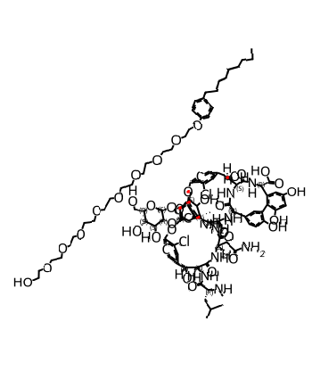 CCCCCCCCCc1ccc(OCCOCCOCCOCCOCCOCCOCCOCCOCCO)cc1.CN[C@H](CC(C)C)C(=O)N[C@H]1C(=O)N[C@@H](CC(N)=O)C(=O)N[C@H]2C(=O)N[C@H]3C(=O)N[C@H](C(=O)N[C@@H](C(=O)O)c4cc(O)cc(O)c4-c4cc3ccc4O)[C@H](O)c3ccc(c(Cl)c3)Oc3cc2cc(c3O[C@@H]2O[C@H](CO)[C@@H](O)[C@H](O)[C@H]2O[C@H]2C[C@](C)(N)C(O)[C@H](C)O2)Oc2ccc(cc2Cl)[C@H]1O